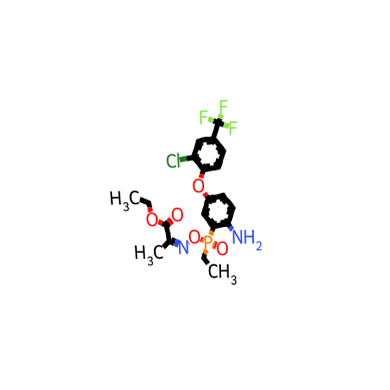 CCOC(=O)C(C)=NOP(=O)(CC)c1cc(Oc2ccc(C(F)(F)F)cc2Cl)ccc1N